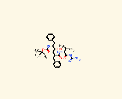 CC(C)C(NC(=O)C(Cc1ccccc1)CC(O)C(Cc1ccccc1)NC(=O)OC(C)(C)C)C(=O)NC(=N)N